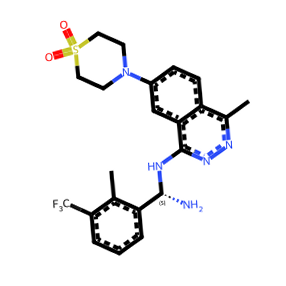 Cc1c([C@@H](N)Nc2nnc(C)c3ccc(N4CCS(=O)(=O)CC4)cc23)cccc1C(F)(F)F